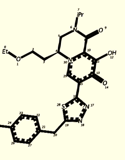 CCOCC[C@H]1CN(C(C)C)C(=O)c2c(O)c(=O)c(-c3nnc(Cc4ccc(F)cc4)s3)cn21